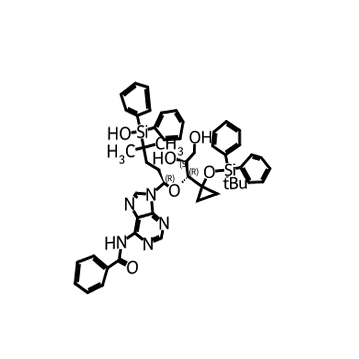 CC(C)(CC[C@@H](O[C@H]([C@@H](O)CO)C1(O[Si](c2ccccc2)(c2ccccc2)C(C)(C)C)CC1)n1cnc2c(NC(=O)c3ccccc3)ncnc21)[Si](O)(c1ccccc1)c1ccccc1